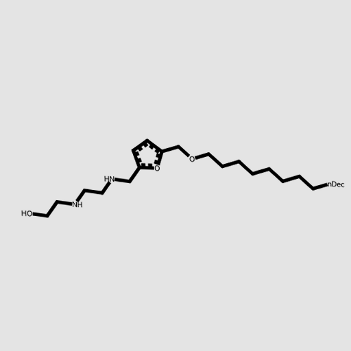 CCCCCCCCCCCCCCCCCCOCc1ccc(CNCCNCCO)o1